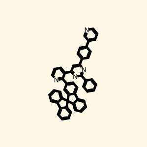 c1ccc(-c2nc(-c3ccc(-c4cccnc4)cc3)cc(-c3cccnc3-c3ccc4c(c3)C3(c5ccccc5-c5ccccc53)c3ccccc3-4)n2)cc1